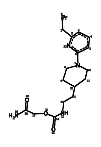 CC(C)Cc1cccc(N2CCC(CCNC(=O)OCC(N)=O)CC2)n1